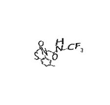 Cc1ccc2c(c1)N(CC(=O)NCC(F)(F)F)C(=O)CS2